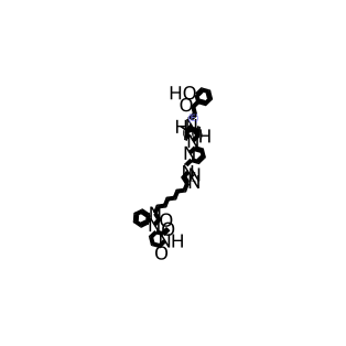 O=C1CCC(n2c(=O)n(CCCCCCc3cn(Cc4cccc(N5C[C@H]6C[C@@H]5CN6/C=C/C(=O)c5ccccc5O)n4)nn3)c3ccccc32)C(=O)N1